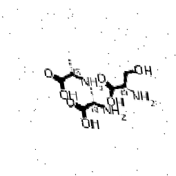 C[C@H](N)C(=O)O.C[C@H](N)C(=O)O.N[C@@H](CO)C(=O)O